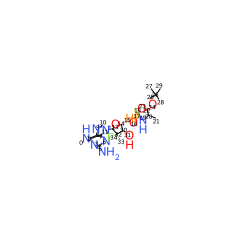 CNc1nc(N)nc2c1ncn2[C@@H]1O[C@H](CO[PH](=S)N[C@H](C)C(=O)OCC(C)(C)C)[C@@H](O)[C@@]1(C)F